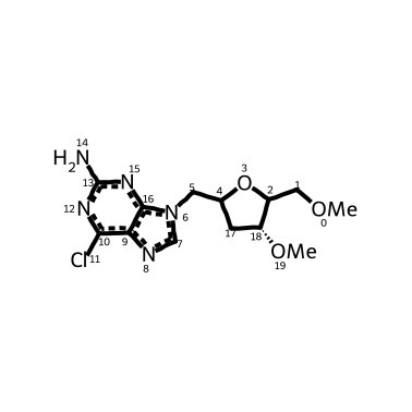 COCC1OC(Cn2cnc3c(Cl)nc(N)nc32)C[C@H]1OC